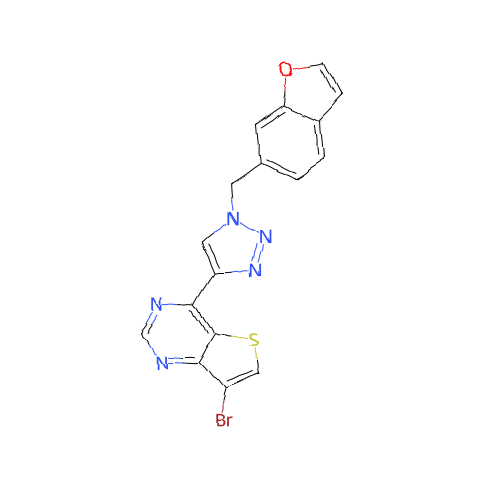 Brc1csc2c(-c3cn(Cc4ccc5ccoc5c4)nn3)ncnc12